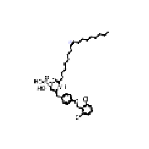 CCCCCCCC/C=C\CCCCCCCC(=O)NC(COP(=O)(O)O)Cc1ccc(OCc2c(Cl)cccc2Cl)cc1